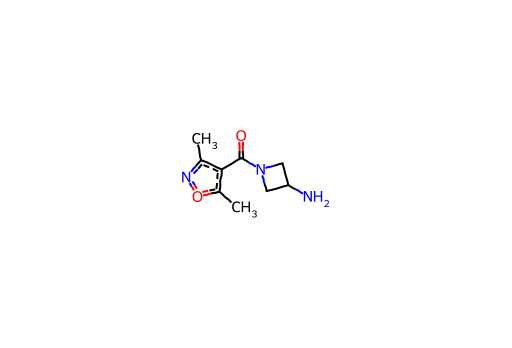 Cc1noc(C)c1C(=O)N1CC(N)C1